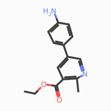 CCOC(=O)c1cc(-c2ccc(N)cc2)cnc1C